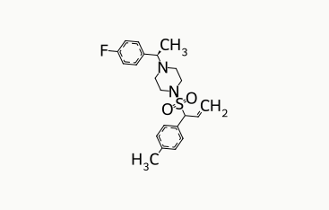 C=CC(c1ccc(C)cc1)S(=O)(=O)N1CCN([C@H](C)c2ccc(F)cc2)CC1